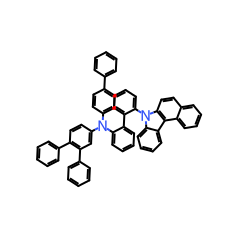 c1ccc(-c2ccc(N(c3ccc(-c4ccccc4)c(-c4ccccc4)c3)c3ccccc3-c3ccccc3-n3c4ccccc4c4c5ccccc5ccc43)cc2)cc1